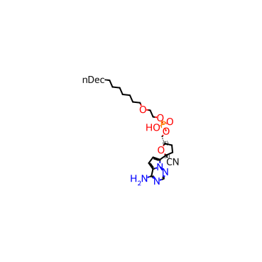 CCCCCCCCCCCCCCCCCOCCOP(=O)(O)OC[C@@H]1CC[C@](C#N)(c2ccc3c(N)ncnn23)O1